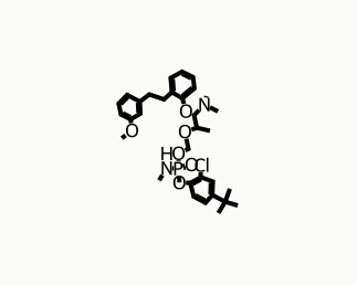 CNP(=O)(OCOC(C)[C@H](Oc1ccccc1CCc1cccc(OC)c1)N(C)C)Oc1ccc(C(C)(C)C)cc1Cl